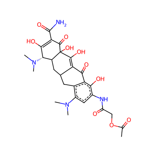 CC(=O)OCC(=O)Nc1cc(N(C)C)c2c(c1O)C(=O)C1=C(O)C3(O)C(=O)C(C(N)=O)=C(O)[C@@H](N(C)C)C3CC1C2